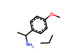 CCC.COc1ccc(C(C)N)cc1